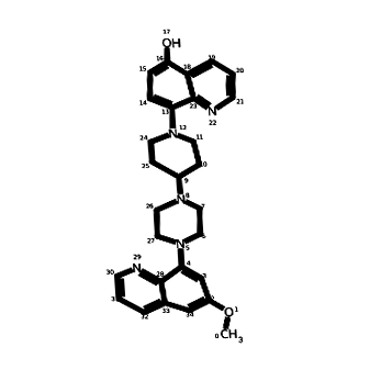 COc1cc(N2CCN(C3CCN(c4ccc(O)c5cccnc45)CC3)CC2)c2ncccc2c1